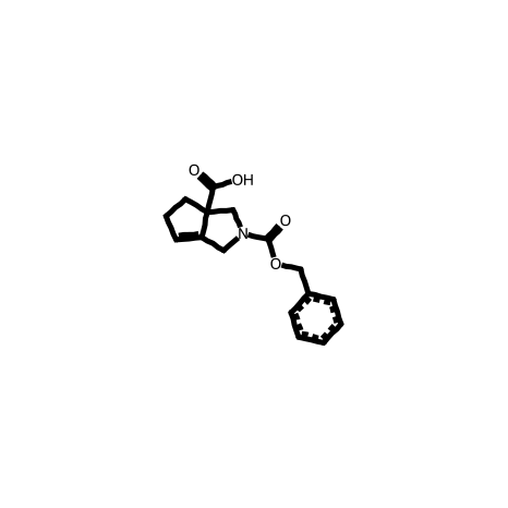 O=C(OCc1ccccc1)N1CC2=CCCC2(C(=O)O)C1